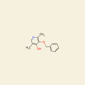 Cc1cnc(C)c(OCc2ccccc2)c1O